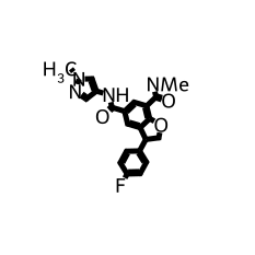 CNC(=O)c1cc(C(=O)Nc2cnn(C)c2)cc2c1OCC2c1ccc(F)cc1